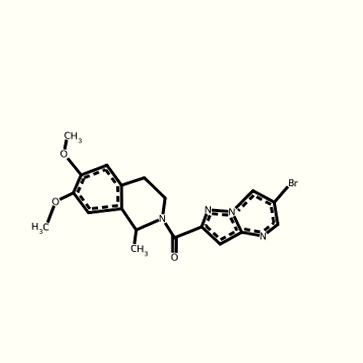 COc1cc2c(cc1OC)C(C)N(C(=O)c1cc3ncc(Br)cn3n1)CC2